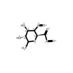 O=NC(=O)[C@H]1OC(P)[C@H](O)[C@@H](O)C1N=O